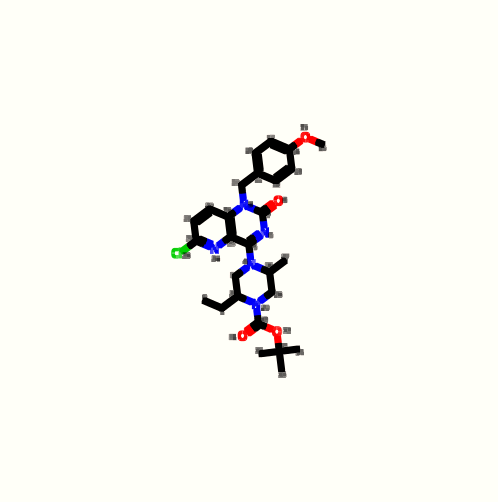 CCC1CN(c2nc(=O)n(Cc3ccc(OC)cc3)c3ccc(Cl)nc23)C(C)CN1C(=O)OC(C)(C)C